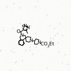 CCOC(=O)N1CCC(N2CCC3(CC2)CN(C(=O)c2snnc2C)Cc2ccccc23)CC1